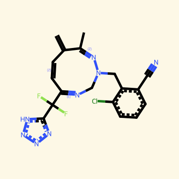 C=C1/C=C\C(C(F)(F)c2nnn[nH]2)=N/CN(Cc2c(Cl)cccc2C#N)/N=C\1C